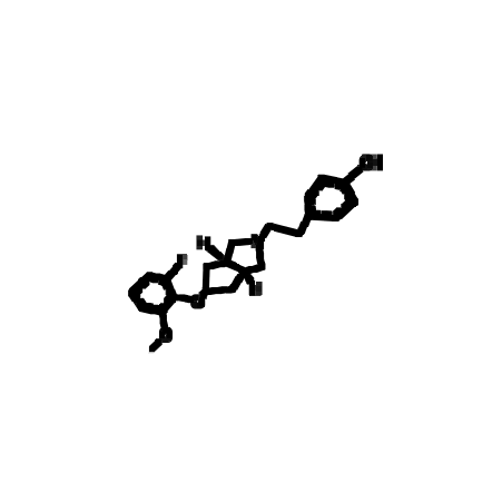 COc1cccc(F)c1O[C@H]1C[C@@H]2CN(CCc3ccc(O)cc3)C[C@@H]2C1